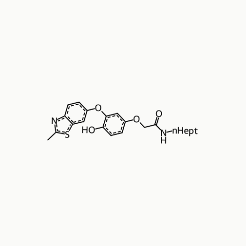 CCCCCCCNC(=O)COc1ccc(O)c(Oc2ccc3nc(C)sc3c2)c1